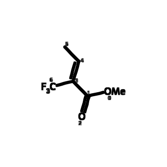 [CH2]OC(=O)C(=CC)C(F)(F)F